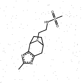 Cc1nc2c(s1)C1CCC(C2)N1CCNS(C)(=O)=O